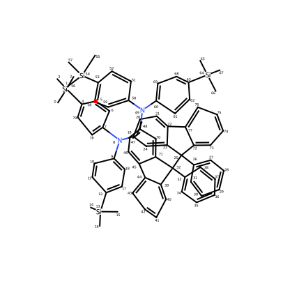 C[Si](C)(C)c1ccc(N(c2ccc([Si](C)(C)C)cc2)c2ccc3c(c2)C(c2ccccc2)(C2(c4ccccc4)c4ccccc4-c4ccc(N(c5ccc([Si](C)(C)C)cc5)c5ccc([Si](C)(C)C)cc5)cc42)c2ccccc2-3)cc1